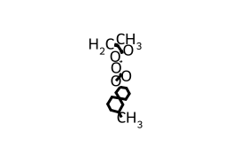 C=C(C)C(=O)OCOC(=O)OC1CCCC2(CCCC(C)C2)C1